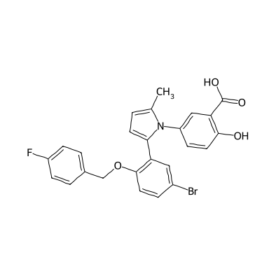 Cc1ccc(-c2cc(Br)ccc2OCc2ccc(F)cc2)n1-c1ccc(O)c(C(=O)O)c1